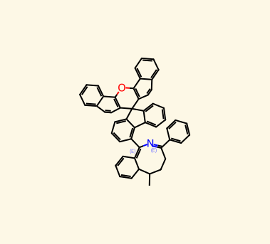 CC1CC/C(c2ccccc2)=N\C(c2cccc3c2-c2ccccc2C32c3ccc4ccccc4c3Oc3c2ccc2ccccc32)=C2\C=CC=CC21